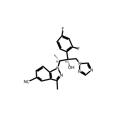 Cc1nn([C@H](C)[C@](O)(Cn2cncn2)c2ccc(F)cc2F)c2ccc(C#N)cc12